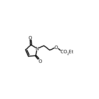 CCOC(=O)OCCN1C(=O)C=CC1=O